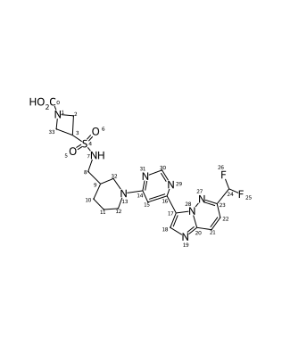 O=C(O)N1CC(S(=O)(=O)NCC2CCCN(c3cc(-c4cnc5ccc(C(F)F)nn45)ncn3)C2)C1